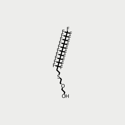 OCCOCCSCCC(F)(F)C(F)(F)C(F)(F)C(F)(F)C(F)(F)C(F)(F)C(F)(F)C(F)(F)C(F)(F)C(F)(F)F